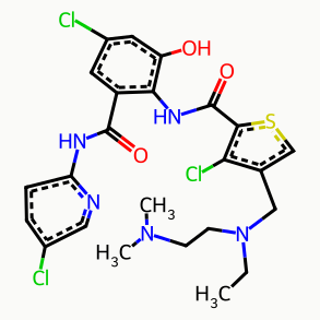 CCN(CCN(C)C)Cc1csc(C(=O)Nc2c(O)cc(Cl)cc2C(=O)Nc2ccc(Cl)cn2)c1Cl